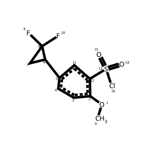 COc1ccc(C2CC2(F)F)cc1S(=O)(=O)Cl